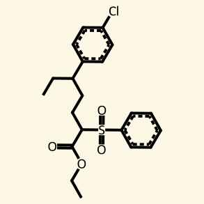 CCOC(=O)C(CCC(CC)c1ccc(Cl)cc1)S(=O)(=O)c1ccccc1